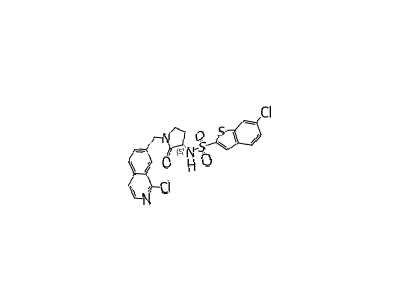 O=C1[C@@H](NS(=O)(=O)c2cc3ccc(Cl)cc3s2)CCN1Cc1ccc2ccnc(Cl)c2c1